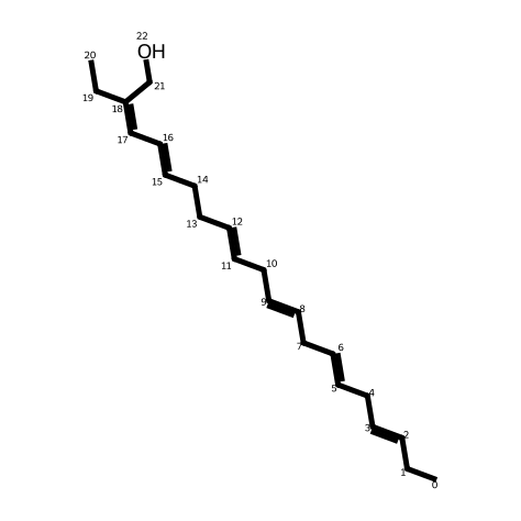 CCC=CCC=CCC=CCC=CCCC=CC=C(CC)CO